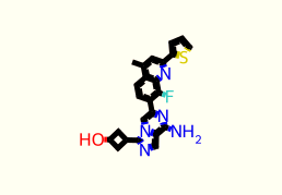 Cc1cc(-c2cccs2)nc2c(F)c(-c3cn4c(C5CC(O)C5)ncc4c(N)n3)ccc12